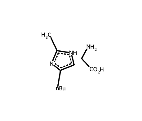 CCCCc1c[nH]c(C)n1.NCC(=O)O